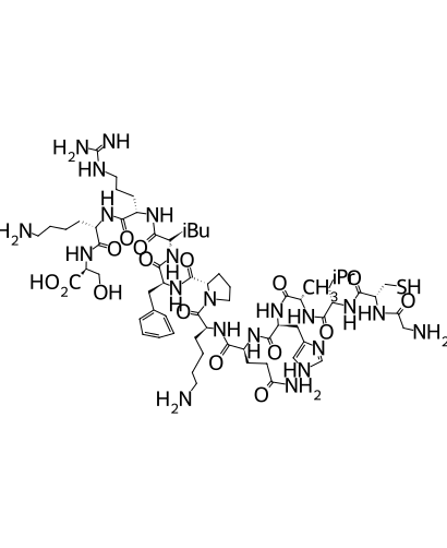 CC[C@H](C)[C@H](NC(=O)[C@H](Cc1ccccc1)NC(=O)[C@@H]1CCCN1C(=O)[C@H](CCCCN)NC(=O)[C@H](CCC(N)=O)NC(=O)[C@H](Cc1c[nH]cn1)NC(=O)[C@H](C)NC(=O)[C@H](CC(C)C)NC(=O)[C@H](CS)NC(=O)CN)C(=O)N[C@@H](CCCNC(=N)N)C(=O)N[C@@H](CCCCN)C(=O)N[C@@H](CO)C(=O)O